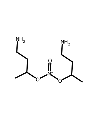 CC(CCN)O[N+](=O)OC(C)CCN